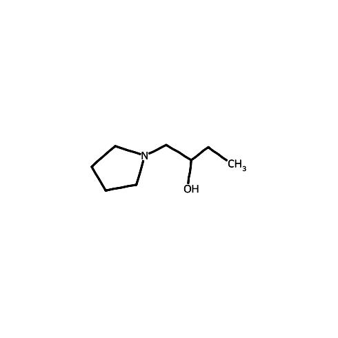 CCC(O)CN1CCCC1